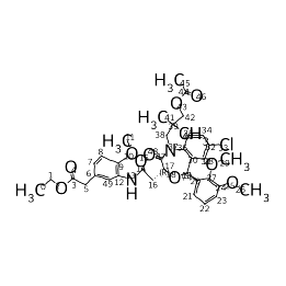 CCOC(=O)Cc1ccc(OC)c(NC(=O)C[C@H]2O[C@H](c3cccc(OC)c3OC)c3cc(Cl)ccc3N(CC(C)(C)COC(C)=O)C2=O)c1